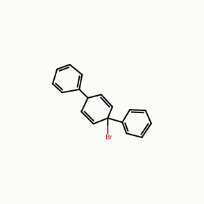 BrC1(c2ccccc2)C=CC(c2ccccc2)C=C1